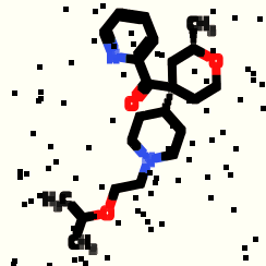 CC(C)OCCN1CCC([C@@]2(C(=O)c3ccccn3)CCO[C@@H](C)C2)CC1